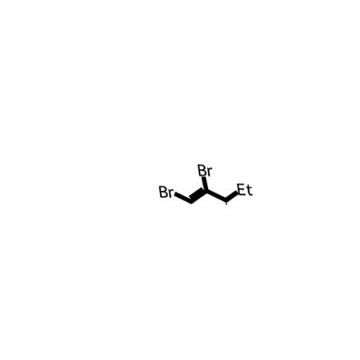 CC[CH]/C(Br)=C/Br